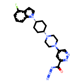 [N-]=[N+]=NC(=O)c1cc(N2CCN([C@H]3CC[C@@H](n4ccc5c(F)cccc54)CC3)CC2)cnn1